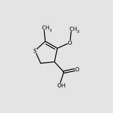 COC1=C(C)SCC1C(=O)O